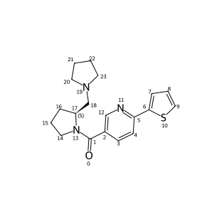 O=C(c1ccc(-c2cccs2)nc1)N1CCC[C@H]1CN1CCCC1